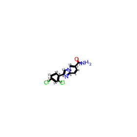 NC(=O)c1ccc2nc(-c3ccc(Cl)cc3Cl)cn2c1